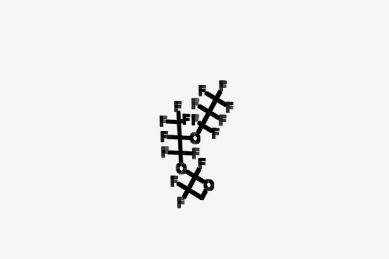 FC(F)(F)C(F)(F)C(F)(F)OC(F)(C(F)(F)F)C(F)(F)OC1(F)OCC1(F)F